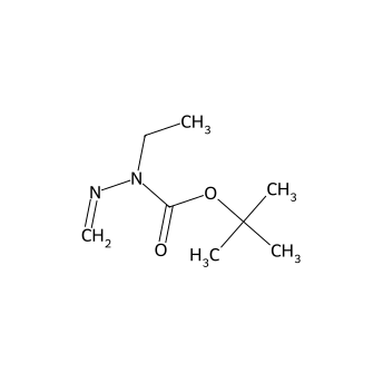 C=NN(CC)C(=O)OC(C)(C)C